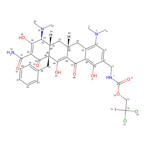 CN(C)c1cc(CNC(=O)OCC(Cl)(Cl)I)c(O)c2c1C[C@H]1C[C@H]3[C@H](N(C)C)C(O)=C(C(N)=O)C(=O)[C@@]3(Cc3ccccc3)C(O)=C1C2=O